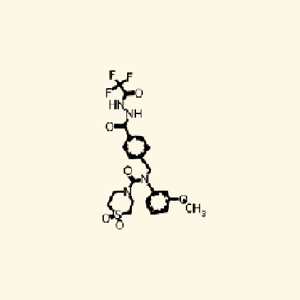 COc1cccc(N(Cc2ccc(C(=O)NNC(=O)C(F)(F)F)cc2)C(=O)N2CCS(=O)(=O)CC2)c1